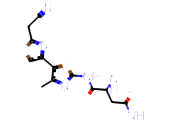 Cc1nc(NC(=O)C(N)CC(N)=O)sc1-c1csc(CC#N)n1